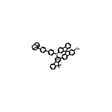 CC(C)(C)c1ccc2c(c1)C1(c3ccccc3-c3ccc(N(c4ccc(-c5ccc(C67CC8CC(CC(C8)C6)C7)cc5)cc4)c4ccc5c(c4)-c4ccccc4C5(C)C)cc31)c1cc(C(C)(C)C)ccc1-2